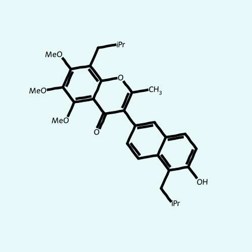 COc1c(OC)c(OC)c2c(=O)c(-c3ccc4c(CC(C)C)c(O)ccc4c3)c(C)oc2c1CC(C)C